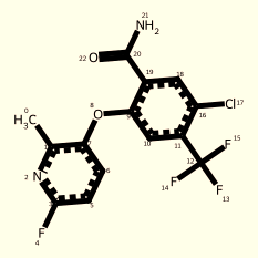 Cc1nc(F)ccc1Oc1cc(C(F)(F)F)c(Cl)cc1C(N)=O